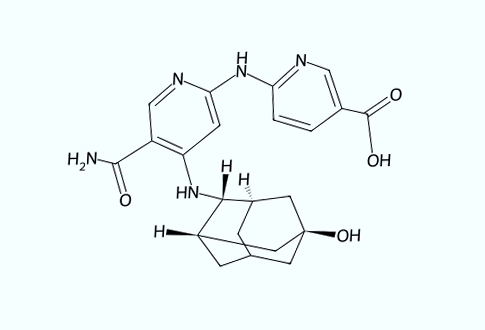 NC(=O)c1cnc(Nc2ccc(C(=O)O)cn2)cc1N[C@@H]1[C@@H]2CC3C[C@H]1C[C@@](O)(C3)C2